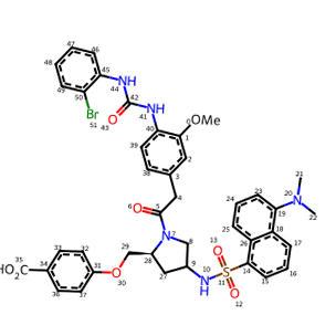 COc1cc(CC(=O)N2CC(NS(=O)(=O)c3cccc4c(N(C)C)cccc34)C[C@H]2COc2ccc(C(=O)O)cc2)ccc1NC(=O)Nc1ccccc1Br